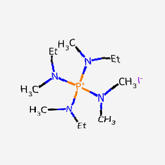 CCN(C)[P+](N(C)C)(N(C)CC)N(C)CC.[I-]